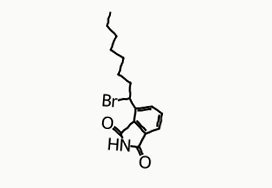 CCCCCCCC(Br)c1cccc2c1C(=O)NC2=O